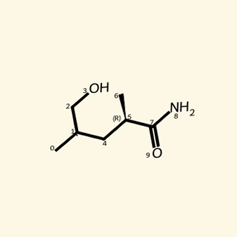 C[C](CO)C[C@@H](C)C(N)=O